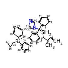 C=CC(C)C[SiH2]C(c1ccccc1)(c1ccccc1)n1ccnc1.c1ccc(B(c2ccccc2)C2CC2)cc1